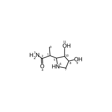 CC(C(N)=O)C1NCC(O)C1O